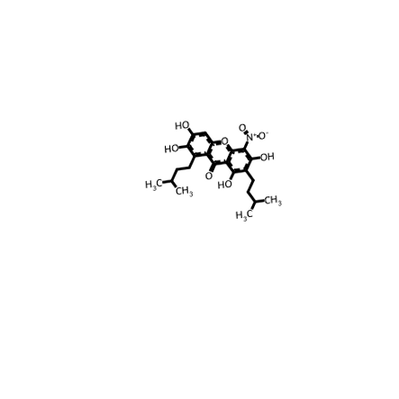 CC(C)CCc1c(O)c([N+](=O)[O-])c2oc3cc(O)c(O)c(CCC(C)C)c3c(=O)c2c1O